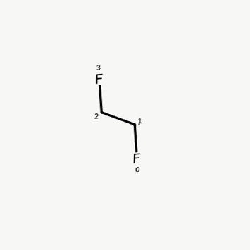 F[CH]CF